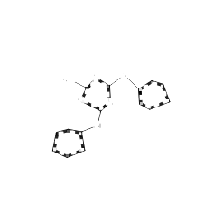 N#Cc1nc(Nc2ccccc2)nc(Nc2ccccc2)n1